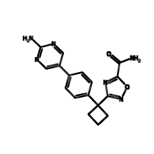 NC(=O)c1nc(C2(c3ccc(-c4cnc(N)nc4)cc3)CCC2)no1